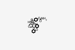 NC(=O)Oc1ccc(S(=O)(=O)N[C@@H]2COC[C@H](N3c4ccccc4Oc4ccccc43)[C@H]2O)cc1